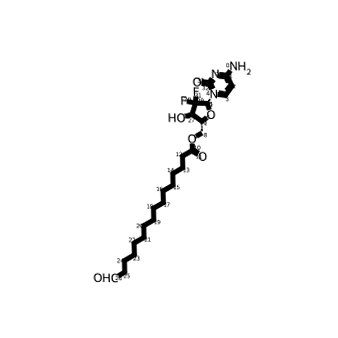 Nc1ccn([C@@H]2O[C@H](COC(=O)CCCCCCCCCCCCCCC=O)C(O)C2(F)F)c(=O)n1